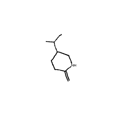 C=C1CCC(C(C)C)CN1